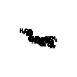 Cc1nc(-c2cccc(C(=O)N[C@@H](CC#N)CC(=O)Nc3nc(C)c(C(=O)OC(C)C)s3)c2)no1